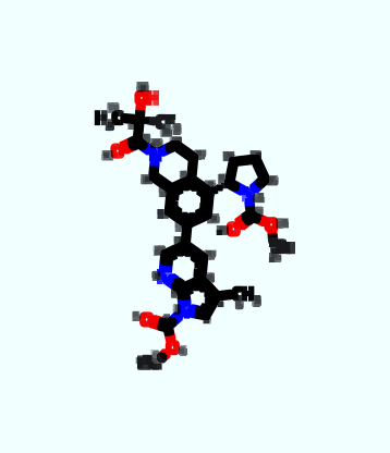 Cc1cn(C(=O)OC(C)(C)C)c2ncc(-c3cc4c(c([C@@H]5CCCN5C(=O)OC(C)(C)C)c3)CCN(C(=O)[C@](C)(O)C(F)(F)F)C4)cc12